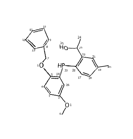 COc1ccc(OCc2ccccc2)c(Pc2ccc(C)cc2C(C)O)c1